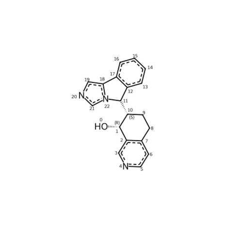 O[C@H]1c2cnccc2CC[C@H]1C1c2ccccc2-c2cncn21